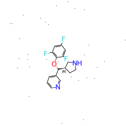 Fc1cc(F)c(OC(c2cccnc2)[C@@H]2CCNC2)c(F)c1